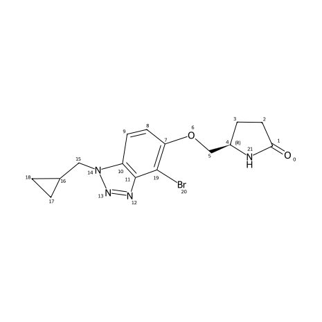 O=C1CC[C@H](COc2ccc3c(nnn3CC3CC3)c2Br)N1